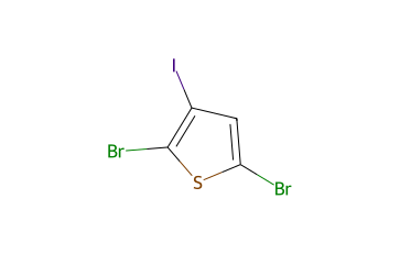 Brc1cc(I)c(Br)s1